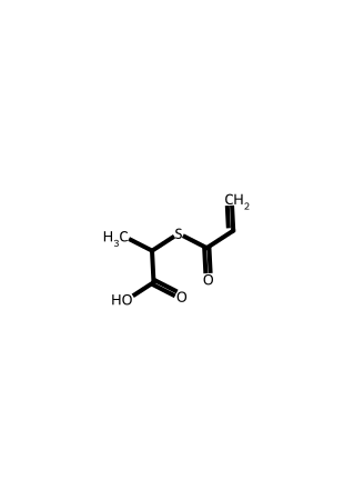 C=CC(=O)SC(C)C(=O)O